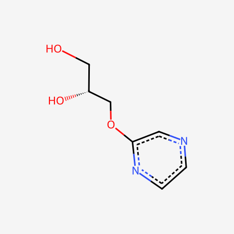 OC[C@@H](O)COc1cnccn1